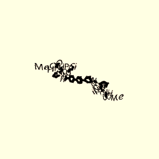 COC(=O)N[C@H](C(=O)N1CCC[C@H]1c1nc2ccc(-c3ccc(-c4ccc(-c5cnc([C@@H]6CCCN6C(=O)[C@@H](NC(=O)OC)C(C)C)n5COCC[Si](C)(C)C)cc4)cc3)cc2[nH]1)C(C)C